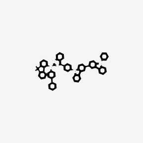 CC1(C)c2ccccc2-c2c(N(c3ccc(-c4ccccc4)cc3)c3nc(-c4ccc(-n5c6ccccc6c6cc(-c7ccc8c(c7)c7ccccc7n8-c7ccccc7)ccc65)cc4)c4ccccc4n3)cccc21